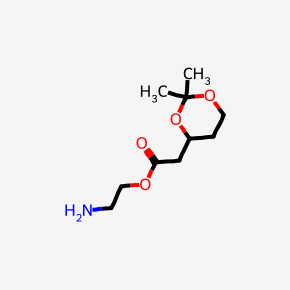 CC1(C)OCCC(CC(=O)OCCN)O1